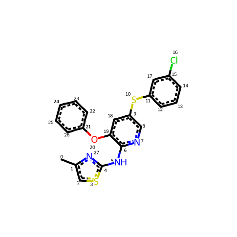 Cc1csc(Nc2ncc(Sc3cccc(Cl)c3)cc2Oc2ccccc2)n1